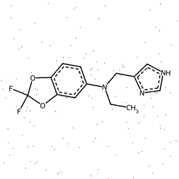 CCN(Cc1c[nH]cn1)c1ccc2c(c1)OC(F)(F)O2